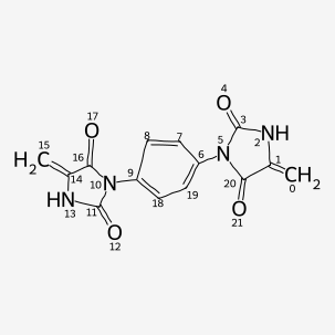 C=C1NC(=O)N(c2ccc(N3C(=O)NC(=C)C3=O)cc2)C1=O